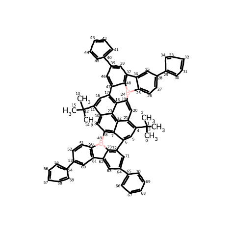 CC(C)(C)c1cc2c3c(cc4c(C(C)(C)C)cc5c6c(cc1c3c46)B1c3ccc(-c4ccccc4)cc3-c3cc(-c4ccccc4)cc-5c31)B1c3ccc(-c4ccccc4)cc3-c3cc(-c4ccccc4)cc-2c31